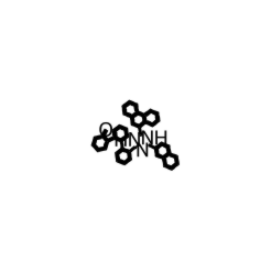 c1ccc(-c2cccc3oc4ccccc4c23)c(C2=NC(c3ccc4ccccc4c3)NC(c3cc4ccccc4c4ccccc34)N2)c1